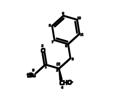 CC(C)(C)C(=O)[C@H]([C]=O)Cc1ccccc1